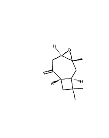 C=C1C[C@H]2O[C@]2(C)C[C@@H]2[C@@H]1CC2(C)C